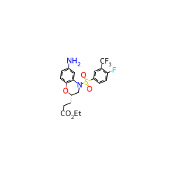 CCOC(=O)CC[C@H]1CN(S(=O)(=O)c2ccc(F)c(C(F)(F)F)c2)c2cc(N)ccc2O1